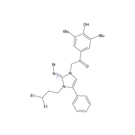 CCC(CC)CCn1c(-c2ccccc2)cn(CC(=O)c2cc(C(C)(C)C)c(O)c(C(C)(C)C)c2)/c1=N\Br